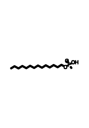 CCCCCCCCCCCCCCOP(C)(=O)O